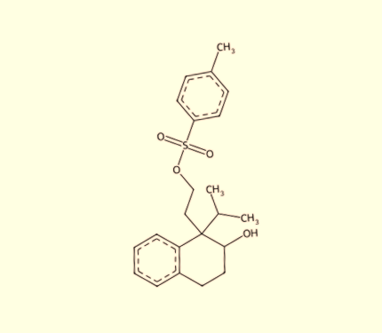 Cc1ccc(S(=O)(=O)OCCC2(C(C)C)c3ccccc3CCC2O)cc1